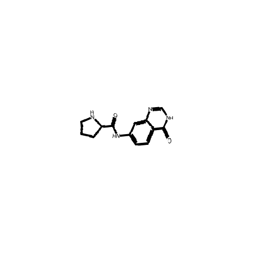 O=C(Nc1ccc2c(=O)[nH]cnc2c1)C1CCCN1